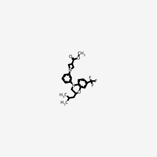 COC(=O)C1CN(c2cccc(N3CC(CC(C)C)Oc4cc(C(F)(F)F)ccc43)c2)C1